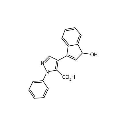 O=C(O)c1c(C2=CC(O)c3ccccc32)cnn1-c1ccccc1